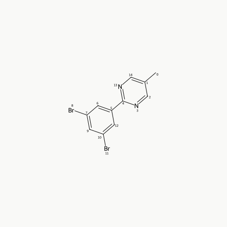 Cc1cnc(-c2cc(Br)cc(Br)c2)nc1